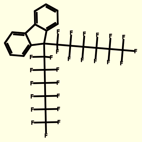 FC(F)(F)C(F)(F)C(F)(F)C(F)(F)C(F)(F)C(F)(F)C1(C(F)(F)C(F)(F)C(F)(F)C(F)(F)C(F)(F)C(F)(F)F)c2ccccc2-c2ccccc21